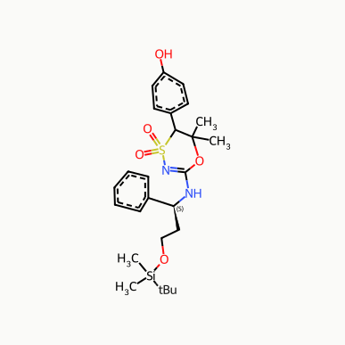 CC1(C)OC(N[C@@H](CCO[Si](C)(C)C(C)(C)C)c2ccccc2)=NS(=O)(=O)C1c1ccc(O)cc1